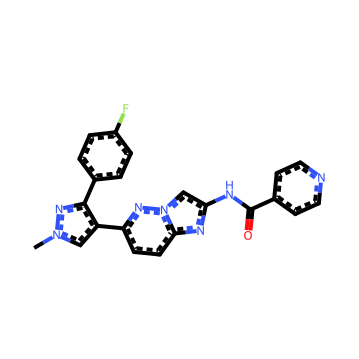 Cn1cc(-c2ccc3nc(NC(=O)c4ccncc4)cn3n2)c(-c2ccc(F)cc2)n1